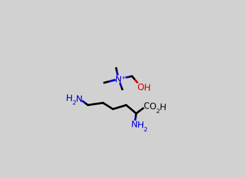 C[N+](C)(C)CO.NCCCCC(N)C(=O)O